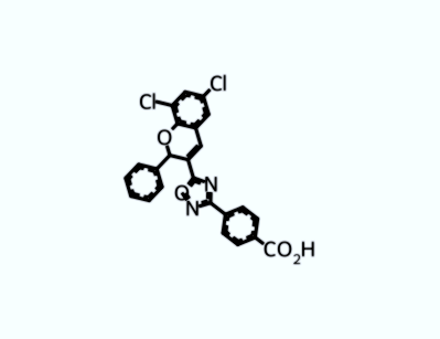 O=C(O)c1ccc(-c2noc(C3=Cc4cc(Cl)cc(Cl)c4OC3c3ccccc3)n2)cc1